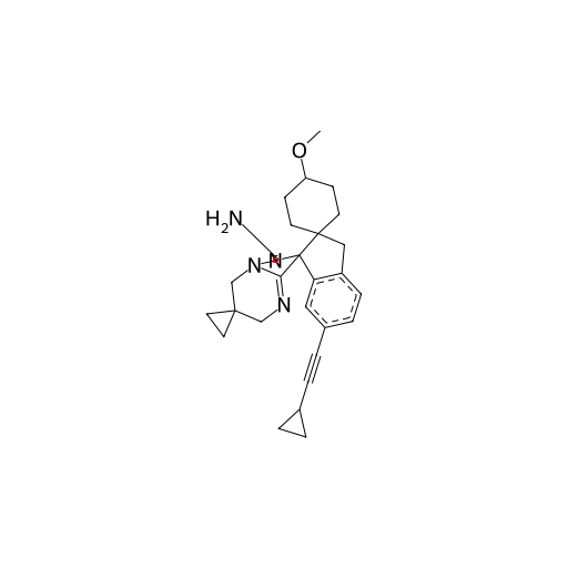 COC1CCC2(CC1)Cc1ccc(C#CC3CC3)cc1C21N=C(N)N2CC3(CC3)CN=C21